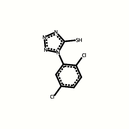 Sc1nnnn1-c1cc(Cl)ccc1Cl